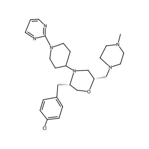 CN1CCN(C[C@H]2CN(C3CCN(c4ncccn4)CC3)[C@@H](Cc3ccc(Cl)cc3)CO2)CC1